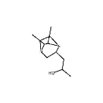 CC(O)CC1CN2CCN1C(C)C2C